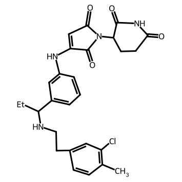 CCC(NCCc1ccc(C)c(Cl)c1)c1cccc(NC2=CC(=O)N(C3CCC(=O)NC3=O)C2=O)c1